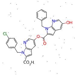 O=C(O)c1cc2cc(OC(=O)c3cc4cc(O)cnc4n3Cc3ccccc3)cnc2n1Cc1ccc(Cl)cc1